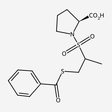 CC(CSC(=O)c1ccccc1)S(=O)(=O)N1CCC[C@H]1C(=O)O